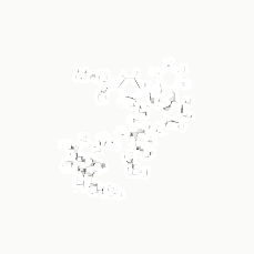 COC(=O)c1ccc2c(C3CCCCC3)c3n(c2c1)C[C@@H](N(CCOCCN(C)S(=O)(=O)NC(=O)OC(C)(C)C)C(=O)OC(C)(C)C)COc1ccccc1-3